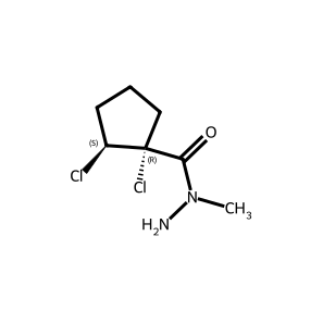 CN(N)C(=O)[C@]1(Cl)CCC[C@@H]1Cl